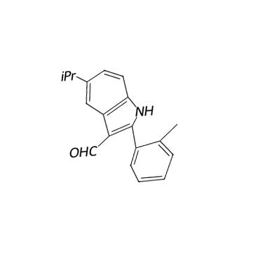 Cc1ccccc1-c1[nH]c2ccc(C(C)C)cc2c1C=O